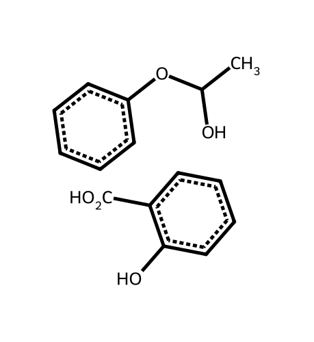 CC(O)Oc1ccccc1.O=C(O)c1ccccc1O